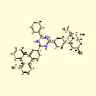 CC[C@@H]1C[C@@H]2C[C@H](C)CC(c3ccc(-c4nc(-c5ccccc5)nc(-c5ccc6c(c5)c5ccccc5c5c(C#N)cccc65)n4)cc3)(C1)C2